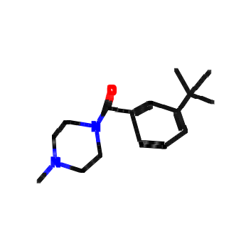 CN1CCN(C(=O)c2cccc(C(C)(C)C)c2)CC1